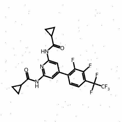 O=C(Nc1cc(-c2ccc(C(F)(F)C(F)(F)F)c(F)c2F)cc(NC(=O)C2CC2)n1)C1CC1